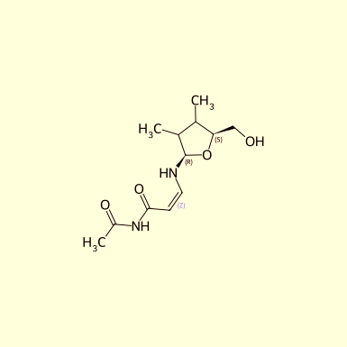 CC(=O)NC(=O)/C=C\N[C@@H]1O[C@H](CO)C(C)C1C